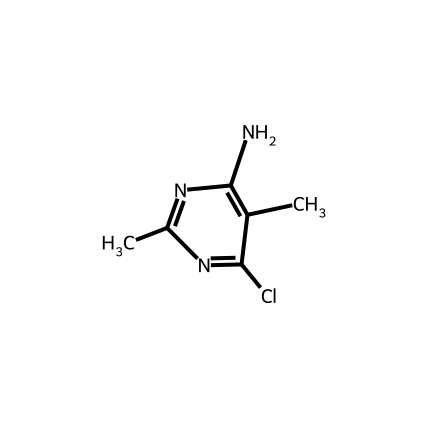 Cc1nc(N)c(C)c(Cl)n1